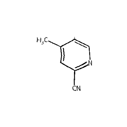 Cc1[c]cnc(C#N)c1